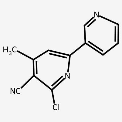 Cc1cc(-c2cccnc2)nc(Cl)c1C#N